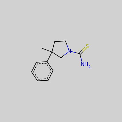 CC1(c2ccccc2)CCN(C(N)=S)C1